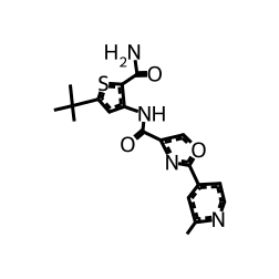 Cc1cc(-c2nc(C(=O)Nc3cc(C(C)(C)C)sc3C(N)=O)co2)ccn1